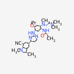 C=CC(=O)Nc1cc(Nc2nccc(-c3cc(C#N)c4c(c3)c(C)cn4C)n2)c(OC(C)C)cc1N(C)CCN(C)C